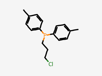 Cc1ccc(P(CCCCl)c2ccc(C)cc2)cc1